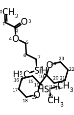 C=CC(=O)OCCC[SiH](C)C1(C2([SiH](C)C)CCCCO2)CCCCO1